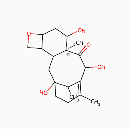 CC1=C2C(O)C(=O)[C@]3(C)C(O)CC4OCC4C3CC(O)(CC1)C2C